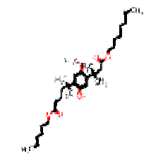 CCCCCCCCOC(=O)CC(C)(C)c1cc(O)c(C(C)(C)CCCC(=O)OCCCCCC)cc1OC